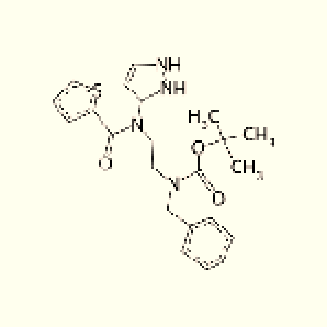 CC(C)(C)OC(=O)N(CCN(C(=O)c1cccs1)C1C=CNN1)Cc1ccccc1